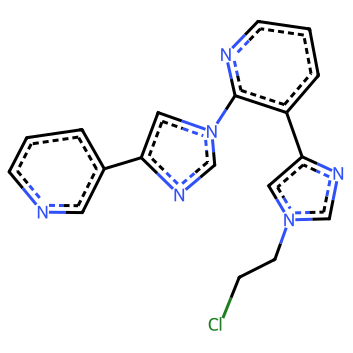 ClCCn1cnc(-c2cccnc2-n2cnc(-c3cccnc3)c2)c1